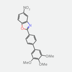 COc1cc(-c2ccc(-c3nc4cc([N+](=O)[O-])ccc4o3)cc2)cc(OC)c1OC